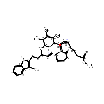 COC(=O)CCC/C=C\CN1C(=O)CCC[C@@H]1/C=C/C(CCc1sc2ccccc2c1Cl)O[C@@H]1OC(C(=O)O)[C@@H](O)C(O)C1O